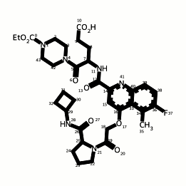 CCOC(=O)N1CCN(C(=O)C(CCC(=O)O)NC(=O)c2cc(OCC(=O)N3CCCC3C(=O)NC3CCC3)c3c(C)c(F)ccc3n2)CC1